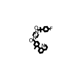 Cc1cc(C(=O)N2CCN(C(=O)C(C)(C)c3ccc(F)cc3)CC2)ccc1-c1cccc2cccnc12